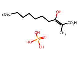 CCCCCCCCCCCCCCCCC(O)=C(C)C(=O)O.O=P(O)(O)O